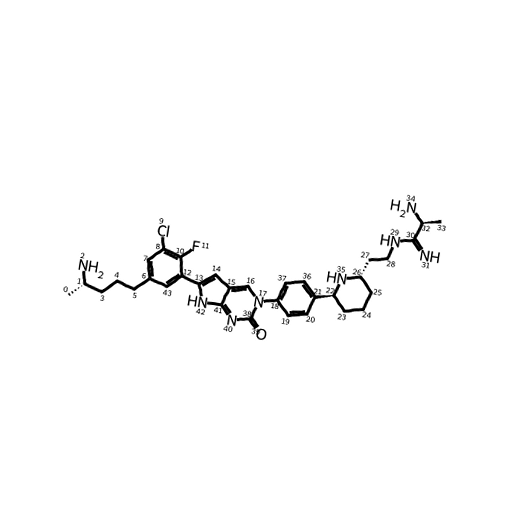 C[C@H](N)CCCc1cc(Cl)c(F)c(-c2cc3cn(-c4ccc([C@@H]5CCC[C@@H](CCNC(=N)[C@H](C)N)N5)cc4)c(=O)nc3[nH]2)c1